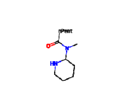 CCCCCC(=O)N(C)C1CCCCN1